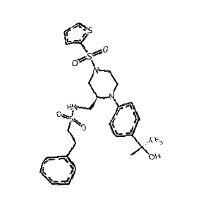 C[C@](O)(c1ccc(N2CCN(S(=O)(=O)c3cccs3)C[C@@H]2CNS(=O)(=O)CCc2ccccc2)cc1)C(F)(F)F